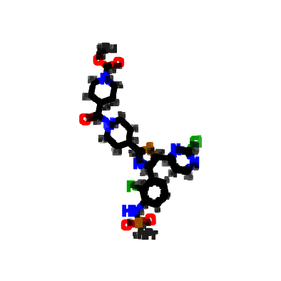 CCCS(=O)(=O)Nc1cccc(-c2nc(C3CCN(C(=O)C4CCN(C(=O)OC(C)(C)C)CC4)CC3)sc2-c2ccnc(Cl)n2)c1F